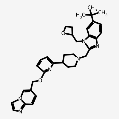 CC(C)(C)c1ccc2nc(CN3CCC(c4cccc(OCc5ccc6nccn6c5)n4)CC3)n(CC3CCO3)c2c1